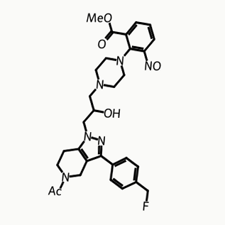 COC(=O)c1cccc(N=O)c1N1CCN(CC(O)Cn2nc(-c3ccc(CF)cc3)c3c2CCN(C(C)=O)C3)CC1